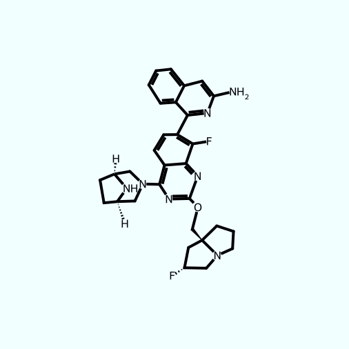 Nc1cc2ccccc2c(-c2ccc3c(N4C[C@H]5CC[C@@H](C4)N5)nc(OC[C@@]45CCCN4C[C@H](F)C5)nc3c2F)n1